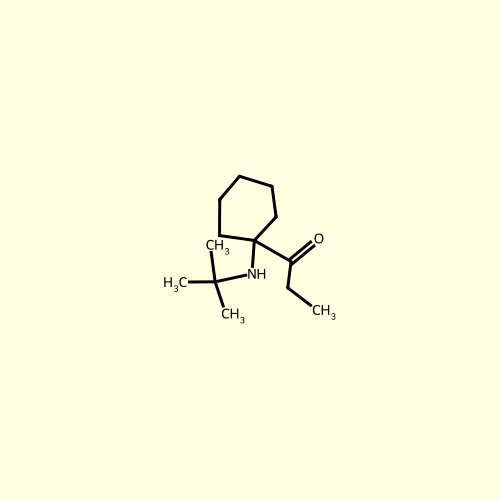 CCC(=O)C1(NC(C)(C)C)CCCCC1